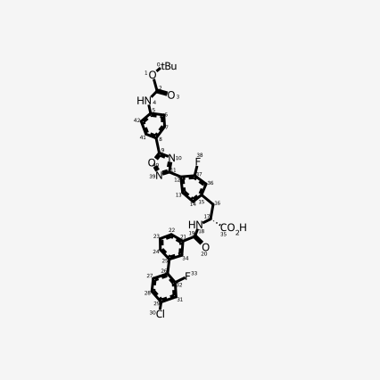 CC(C)(C)OC(=O)Nc1ccc(-c2nc(-c3ccc(C[C@@H](NC(=O)c4cccc(-c5ccc(Cl)cc5F)c4)C(=O)O)cc3F)no2)cc1